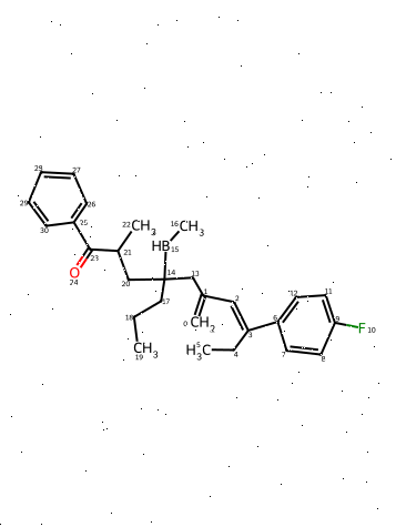 C=C(/C=C(\CC)c1ccc(F)cc1)CC(BC)(CCC)CC(C)C(=O)c1ccccc1